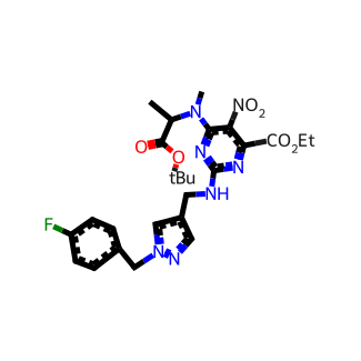 CCOC(=O)c1nc(NCc2cnn(Cc3ccc(F)cc3)c2)nc(N(C)C(C)C(=O)OC(C)(C)C)c1[N+](=O)[O-]